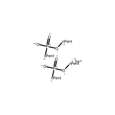 CCCCCOP(=O)([O-])CCCCC.CCCCCOP(=O)([O-])CCCCC.[Fe+2]